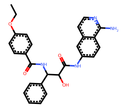 CCOc1ccc(C(=O)NC(c2ccccc2)C(O)C(=O)Nc2ccc3c(N)nccc3c2)cc1